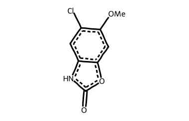 COc1cc2oc(=O)[nH]c2cc1Cl